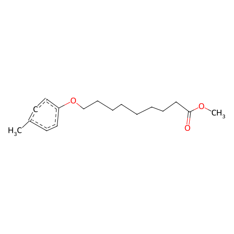 COC(=O)CCCCCCCCOc1ccc(C)cc1